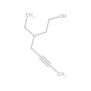 CC#CCN(CC)CCO